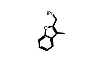 Cc1c(CC(C)C)oc2c[c]ccc12